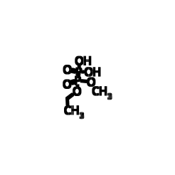 CCOP(=O)(OC)P(=O)(O)O